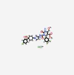 COCC1=C(C(=O)OC)C(c2ccc(F)c(F)c2)N(C(=O)N[C@@H]2CCN(C3CCC(O)(c4ccc(F)cc4)CC3)C2)C(=O)N1.Cl